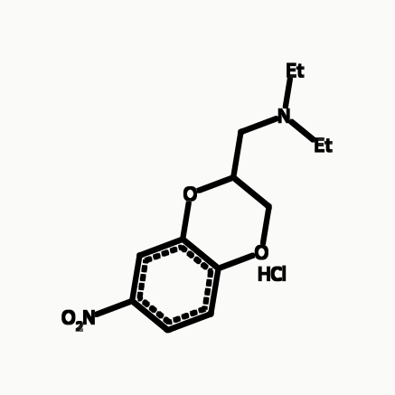 CCN(CC)CC1COc2ccc([N+](=O)[O-])cc2O1.Cl